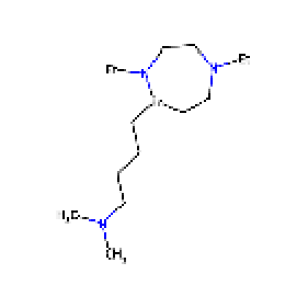 CCN1CC[N](CC)[In]([CH2]CCCN(C)C)[CH2]C1